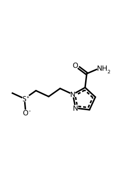 C[S+]([O-])CCCn1nccc1C(N)=O